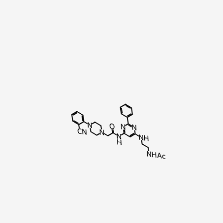 CC(=O)NCCNc1cc(NC(=O)CN2CCN(c3ccccc3C#N)CC2)nc(-c2ccccc2)n1